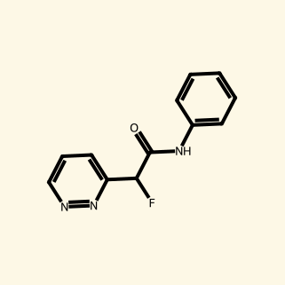 O=C(Nc1ccccc1)C(F)c1cccnn1